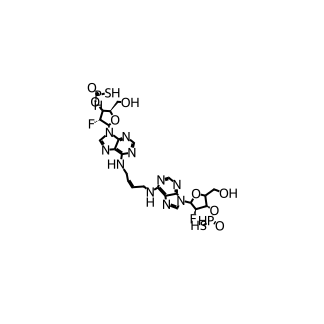 O=[PH](S)OC1[C@@H](F)[C@H](n2cnc3c(NC/C=C\CNc4ncnc5c4ncn5C4OC(CO)[C@@H](O[PH](=O)S)[C@H]4F)ncnc32)O[C@@H]1CO